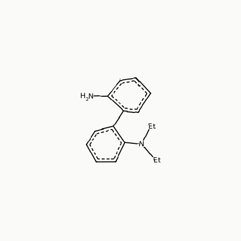 CCN(CC)c1ccccc1-c1ccc[c]c1N